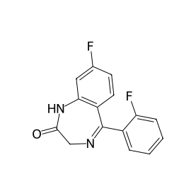 O=C1CN=C(c2ccccc2F)c2ccc(F)cc2N1